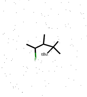 CC(F)C(C)C(C)(C)C(C)(C)C